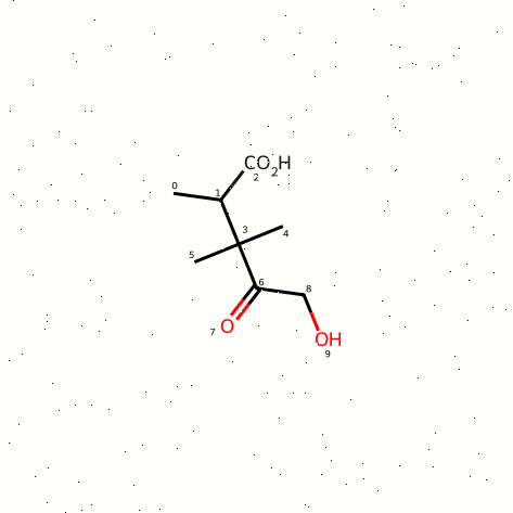 CC(C(=O)O)C(C)(C)C(=O)CO